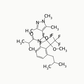 COC(c1c(CC(C)C)cccc1N(C(=O)c1c(C)nn(C)c1C)C(=O)C(C)C)(C(F)(F)F)C(F)(F)F